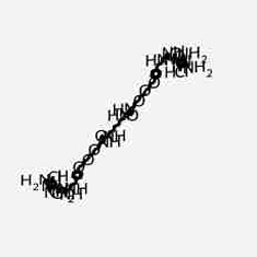 N=C(NCCc1ccc(OCCOCCOCCNC(=O)NCCCCCCNC(=O)NCCOCCOCCOc2ccc(CCNC(=N)NC(=O)c3nc(Cl)c(N)nc3N)cc2)cc1)NC(=O)c1nc(Cl)c(N)nc1N